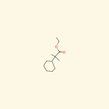 CCOC(=O)C(C)(C)C1CCCCC1